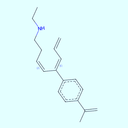 C=C/C=C(\C=C/CCNCC)c1ccc(C(=C)C)cc1